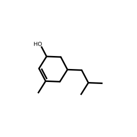 CC1=CC(O)CC(CC(C)C)C1